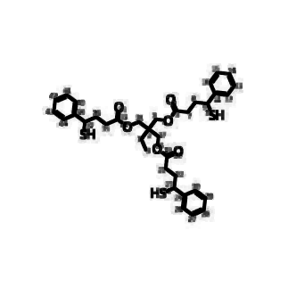 CCC(COC(=O)CCC(S)c1ccccc1)(COC(=O)CCC(S)c1ccccc1)COC(=O)CCC(S)c1ccccc1